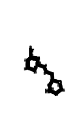 BrC1=CN(CCCC2CNCCO2)CC=C1